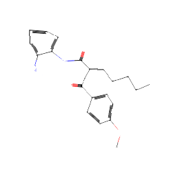 CCCCCC(C(=O)Nc1ccccc1N)C(=O)c1ccc(OC)cc1